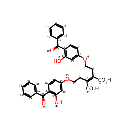 O=C(O)C(CCOc1ccc(C(=O)c2ccccc2)c(O)c1)=C(CCOc1ccc(C(=O)c2ccccc2)c(O)c1)C(=O)O